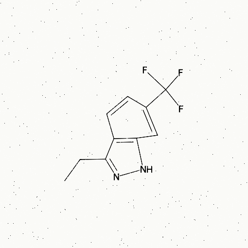 CCc1n[nH]c2cc(C(F)(F)F)ccc12